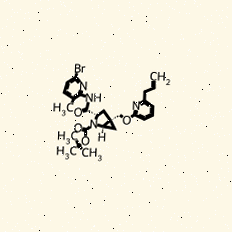 C=CCc1cccc(OC[C@@]23C[C@@H](C(=O)Nc4nc(Br)ccc4C)N(C(=O)OC(C)(C)C)[C@@H]2C3)n1